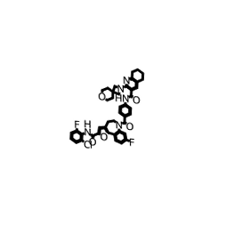 O=C(Nc1c(F)cccc1Cl)c1cc2c(o1)-c1ccc(F)cc1N(C(=O)c1ccc(NC(=O)c3cc4c(nc3N3CC5(CCOCC5)C3)CCCC4)cc1)CC2